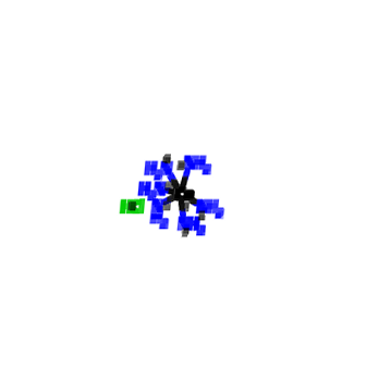 Cl.[NH2][Co]([NH2])([NH2])([NH2])([NH2])[NH2]